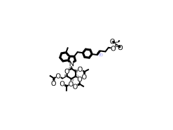 CC(=O)OC[C@H]1O[C@@H](n2cc(Cc3ccc(/C=C/CCOS(C)(=O)=O)cc3)c3c(C)cccc32)[C@H](OC(C)=O)[C@@H](OC(C)=O)[C@@H]1OC(C)=O